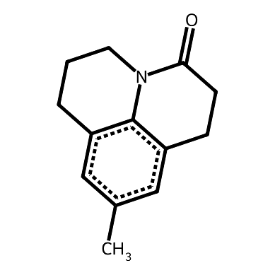 Cc1cc2c3c(c1)CCC(=O)N3CCC2